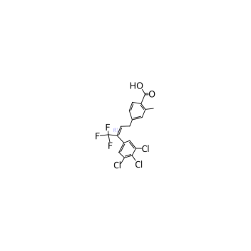 Cc1cc(C/C=C(\c2cc(Cl)c(Cl)c(Cl)c2)C(F)(F)F)ccc1C(=O)O